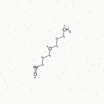 CCCCOCCCN=O